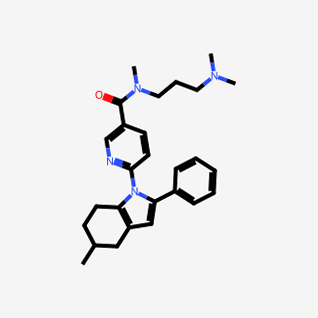 CC1CCc2c(cc(-c3ccccc3)n2-c2ccc(C(=O)N(C)CCCN(C)C)cn2)C1